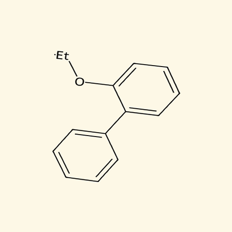 C[CH]Oc1ccccc1-c1ccccc1